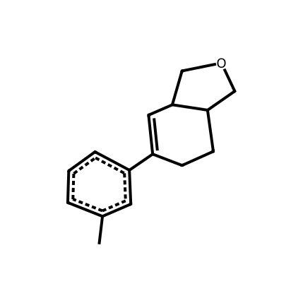 Cc1cccc(C2=CC3COCC3CC2)c1